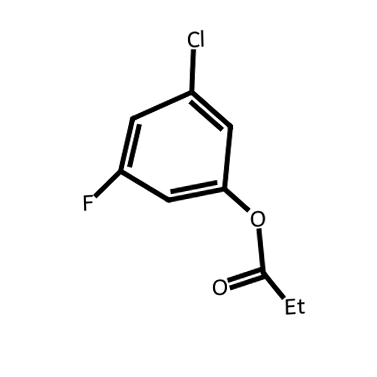 CCC(=O)Oc1cc(F)cc(Cl)c1